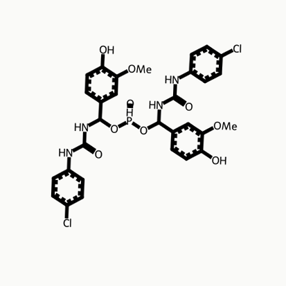 COc1cc(C(NC(=O)Nc2ccc(Cl)cc2)O[PH](=O)OC(NC(=O)Nc2ccc(Cl)cc2)c2ccc(O)c(OC)c2)ccc1O